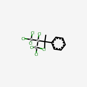 CC(C)(c1ccccc1)[Si](Cl)([Si](Cl)(Cl)Cl)[Si](Cl)(Cl)Cl